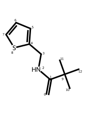 C=C(NCc1cccs1)C(C)(C)C